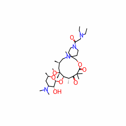 CCN(CC)CC(=O)N1CCC2(CC1)COC(=O)C(C)(C)C(=O)[C@H](C)[C@@H](O[C@@H]1O[C@H](C)C[C@H](N(C)C)[C@H]1O)[C@](C)(OC)C[C@@H](C)CN2C